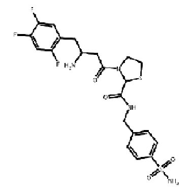 NC(CC(=O)N1CCSC1C(=O)NCc1ccc(S(N)(=O)=O)cc1)Cc1cc(F)c(F)cc1F